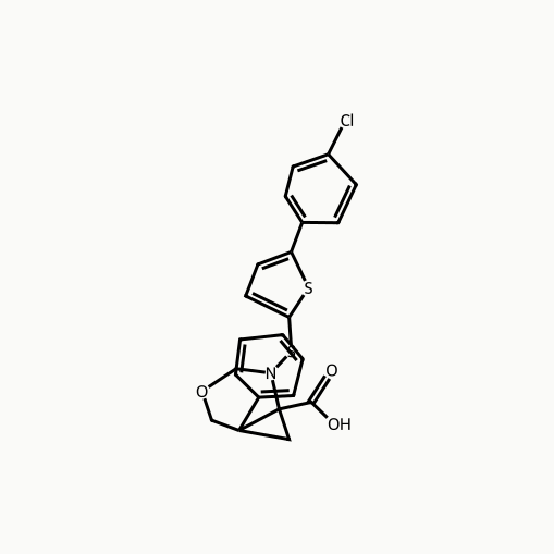 O=C(O)C12CC1(c1ccccc1)COCN2Sc1ccc(-c2ccc(Cl)cc2)s1